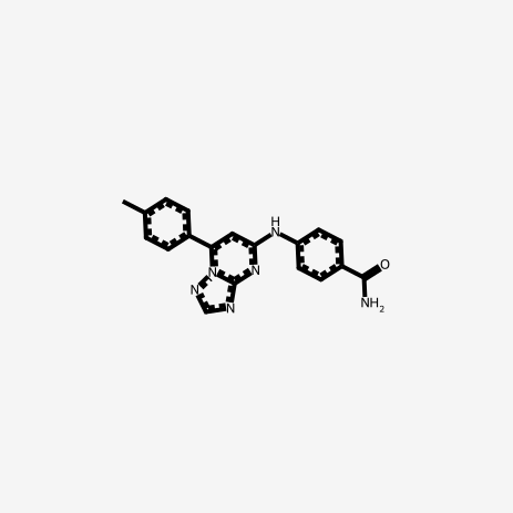 Cc1ccc(-c2cc(Nc3ccc(C(N)=O)cc3)nc3ncnn23)cc1